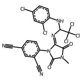 CN1C(=O)C(=NC(Nc2ccc(Cl)cc2Cl)C(Cl)(Cl)Cl)N(c2ccc(C#N)cc2C#N)C1=O